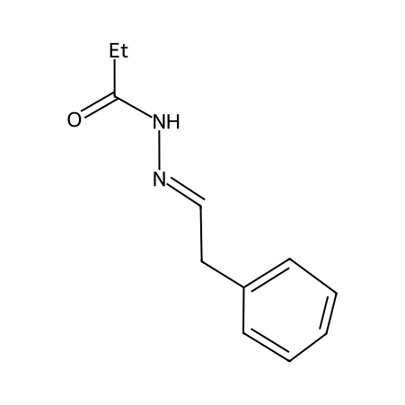 CCC(=O)NN=CCc1ccccc1